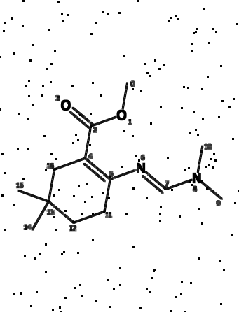 COC(=O)C1=C(/N=C/N(C)C)CCC(C)(C)C1